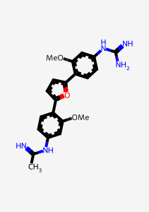 COc1cc(NC(C)=N)ccc1-c1ccc(-c2ccc(NC(=N)N)cc2OC)o1